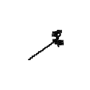 CCCCCCCCCCCCCCCCCCCCCCCCCC(=O)NC(COC1C=CCC(O)C(O)C1O)C(O)CC(O)CC